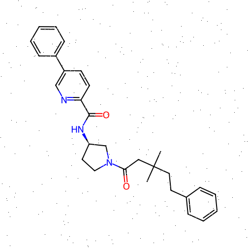 CC(C)(CCc1ccccc1)CC(=O)N1CC[C@@H](NC(=O)c2ccc(-c3ccccc3)cn2)C1